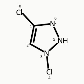 ClC1=CN(Cl)N[N]1